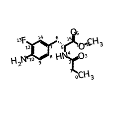 CCC(=O)N[C@H](Cc1ccc(N)c(F)c1)C(=O)OC